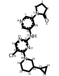 O=C1CCCN1c1cncc(Nc2ncc(Cl)c(N3CCCC(C4CC4)C3)n2)c1